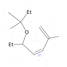 C=C(C)/C=C\C(CC)OC(C)(C)CC